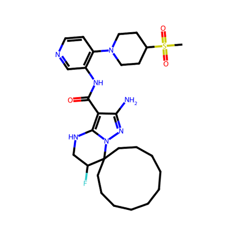 CS(=O)(=O)C1CCN(c2ccncc2NC(=O)c2c(N)nn3c2NCC(F)C32CCCCCCCCCC2)CC1